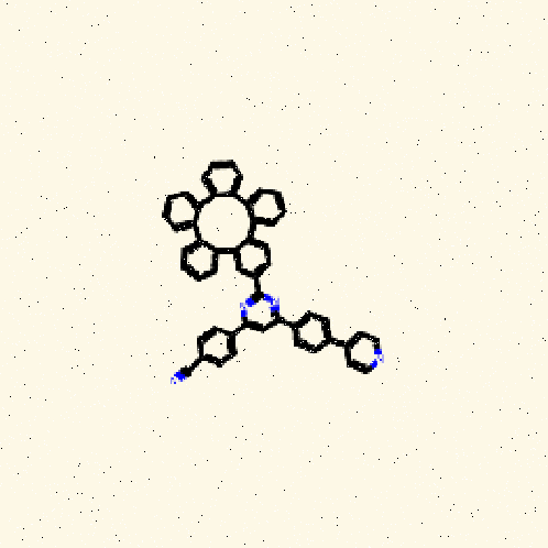 N#Cc1ccc(-c2cc(-c3ccc(-c4ccncc4)cc3)nc(-c3ccc4c5ccccc5c5ccccc5c5ccccc5c5ccccc5c4c3)n2)cc1